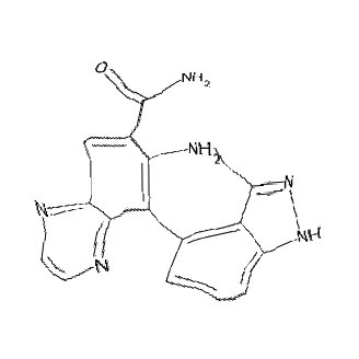 Cc1n[nH]c2cccc(-c3c(N)c(C(N)=O)cc4nccnc34)c12